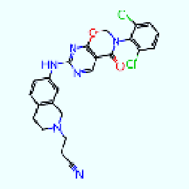 N#CCCN1CCc2ccc(Nc3ncc4c(n3)OCN(c3c(Cl)cccc3Cl)C4=O)cc2C1